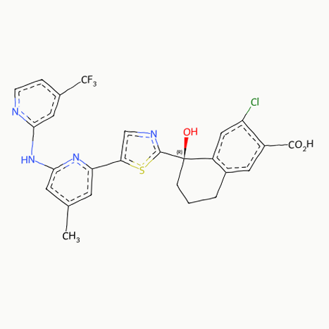 Cc1cc(Nc2cc(C(F)(F)F)ccn2)nc(-c2cnc([C@@]3(O)CCCc4cc(C(=O)O)c(Cl)cc43)s2)c1